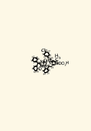 COC(=O)N[C@H](C(=O)Nc1ccccc1CC[C@@H]1CN(C(=O)O)[C@H](C)[C@@H](CSc2ccc(Cl)cc2)O1)C(c1ccccc1)c1ccccc1